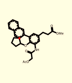 COC(=O)CCc1cc(NC(=O)COC(C)=O)c(OC2CCCC2)c(-c2ccc3ccccc3c2)c1